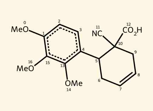 COc1ccc(C2CC=CCC2(C#N)C(=O)O)c(OC)c1OC